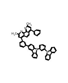 Cc1cc(-c2ccccc2)c2ccc3c(-c4cccc(-c5ccc6c(c5)c5ccccc5n6-c5cccc(-n6c7ccccc7c7ccccc76)c5)c4)cc(C)nc3c2n1